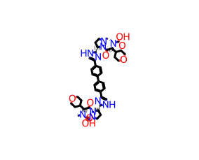 CN(C(=O)O)[C@H](C(=O)N1[C@H](c2nc(-c3ccc(-c4ccc(-c5c[nH]c([C@@H]6CCN(C)N6C(=O)[C@H](C6CCOCC6)N(C)C(=O)O)n5)cc4)cc3)c[nH]2)CCN1C)C1CCOCC1